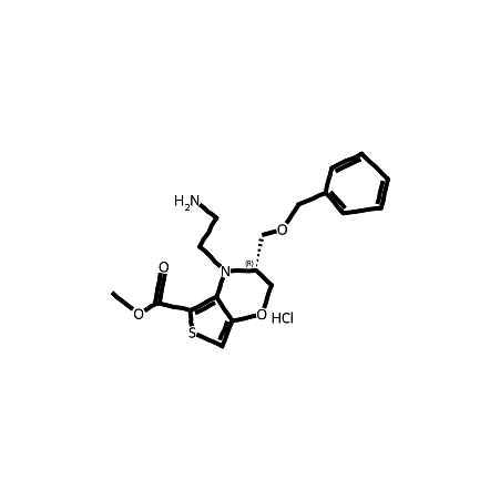 COC(=O)c1scc2c1N(CCN)[C@H](COCc1ccccc1)CO2.Cl